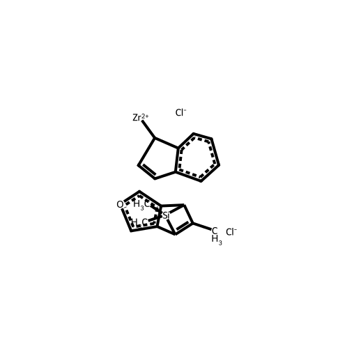 CC1=C2c3cocc3C1[Si]2(C)C.[Cl-].[Cl-].[Zr+2][CH]1C=Cc2ccccc21